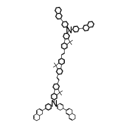 CC1(C)c2cc(/C=C/c3ccc4c(c3)C(C)(C)c3cc(N(C5=CCC(C6=CCC7CCC=CC7=C6)C=C5)c5ccc(C6=CC=C7C=CCCC7C6)cc5)ccc3-4)ccc2-c2ccc(/C=C/c3ccc4c(c3)C(C)(C)c3cc(N(c5ccc(-c6ccc7ccccc7c6)cc5)c5ccc(-c6ccc7ccccc7c6)cc5)ccc3-4)cc21